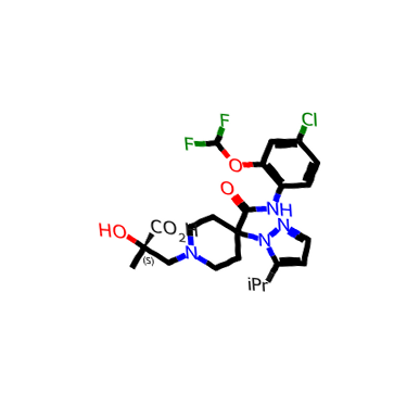 CC(C)c1ccnn1C1(C(=O)Nc2ccc(Cl)cc2OC(F)F)CCN(C[C@](C)(O)C(=O)O)CC1